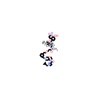 CN(CCNC[C@H](O[Si](C)(C)C(C)(C)C)c1ccc(O)c2[nH]c(=O)ccc12)C(=O)CCOCCc1cccc(CN2CCC3(CC2)CN(C(=O)c2ccn(CC4CC4)n2)CCO3)c1